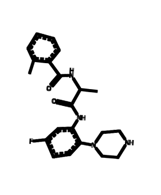 Cc1ccccc1C(=O)NC(C)C(=O)Nc1cc(F)ccc1N1CCNCC1